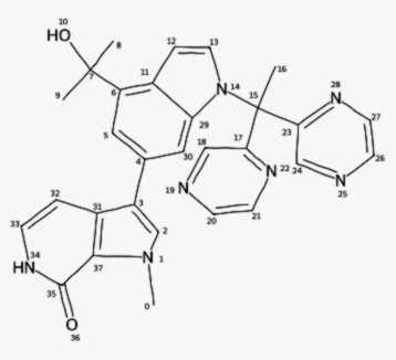 Cn1cc(-c2cc(C(C)(C)O)c3ccn(C(C)(c4cnccn4)c4cnccn4)c3c2)c2cc[nH]c(=O)c21